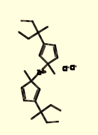 CCC(C)(CC)C1=C[C](C)([Zr+2][C]2(C)C=CC(C(C)(CC)CC)=C2)C=C1.[Cl-].[Cl-]